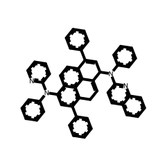 C1=C(c2ccccc2)c2ccc3c(N(c4ccccc4)c4ccccn4)cc(-c4ccccc4)c4c3c2C(=CC4)C1N(c1ccccc1)c1ccc2ccccc2n1